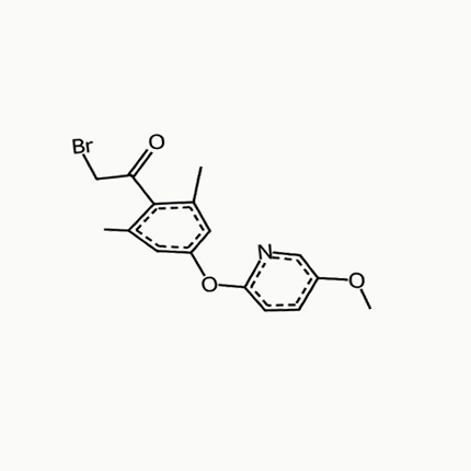 COc1ccc(Oc2cc(C)c(C(=O)CBr)c(C)c2)nc1